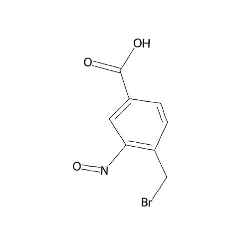 O=Nc1cc(C(=O)O)ccc1CBr